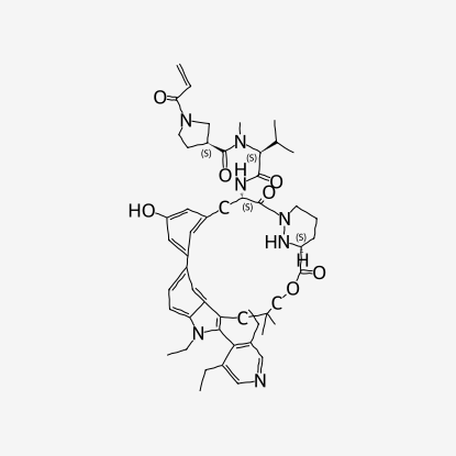 C=CC(=O)N1CC[C@H](C(=O)N(C)[C@H](C(=O)N[C@H]2Cc3cc(O)cc(c3)-c3ccc4c(c3)c(c(-c3c(CC)cncc3CC)n4CC)CC(C)(C)COC(=O)[C@@H]3CCCN(N3)C2=O)C(C)C)C1